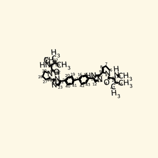 CN[C@H](C(=O)N1CCC=C1c1ncc(-c2ccc(-c3ccc(-c4cnc([C@@H]5CCCN5C(=O)[C@@H](NC)C(C)C)[nH]4)cc3)cc2)[nH]1)C(C)C